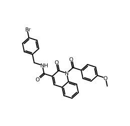 COc1ccc(C(=O)n2c(=O)c(C(=O)NCc3ccc(Br)cc3)cc3ccccc32)cc1